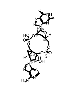 Cc1nc2c(nnn2[C@@H]2O[C@@H]3CO[P@@](=O)(S)O[C@H]4[C@@H](O)[C@H](n5cnc6c(N)ncnc65)[C@H]5CC54COP(=O)(O)O[C@@H]2C3)c(=O)[nH]1